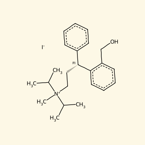 CC(C)[N+](C)(CC[C@H](c1ccccc1)c1ccccc1CO)C(C)C.[I-]